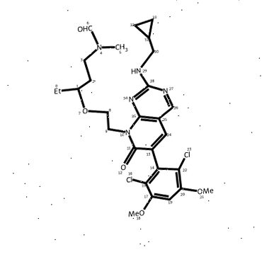 CCC(CCN(C)C=O)OCCn1c(=O)c(-c2c(Cl)c(OC)cc(OC)c2Cl)cc2cnc(NCC3CC3)nc21